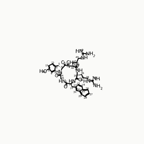 CN1C(=O)[C@@H](Cc2ccc(O)cc2)NC(=O)CNC(=O)[C@H](Cc2ccc3ccccc3c2)NC(=O)[C@H](CCCNC(=N)N)NC(=O)[C@@H]1CCCNC(=N)N